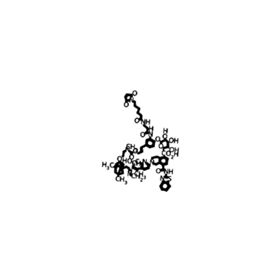 C=NN(CC12CC3(C)CC(C)(C1)CC(OCCN(C)C(=O)OC/C=C/c1ccc(O[C@@H]4O[C@H](C(=O)O)[C@@H](O)[C@H](O)[C@H]4O)c(NC(=O)CCNC(=O)CCCCCN4C(=O)C=CC4=O)c1)(C3)C2)/C(C)=C(\C)c1ccc(N2CCc3cccc(C(=O)Nc4nc5ccccc5s4)c3C2)nc1C(=O)O